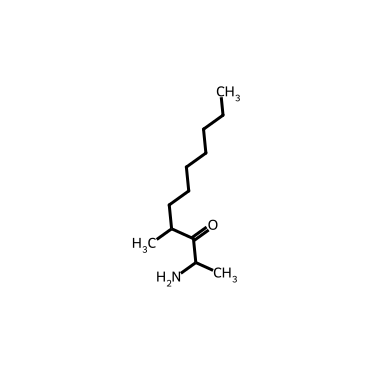 CCCCCCCC(C)C(=O)C(C)N